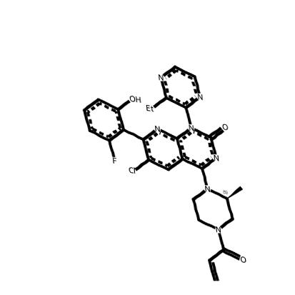 C=CC(=O)N1CCN(c2nc(=O)n(-c3nccnc3CC)c3nc(-c4c(O)cccc4F)c(Cl)cc23)[C@@H](C)C1